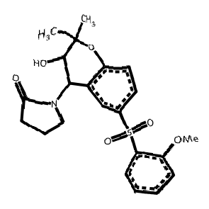 COc1ccccc1S(=O)(=O)c1ccc2c(c1)C(N1CCCC1=O)C(O)C(C)(C)O2